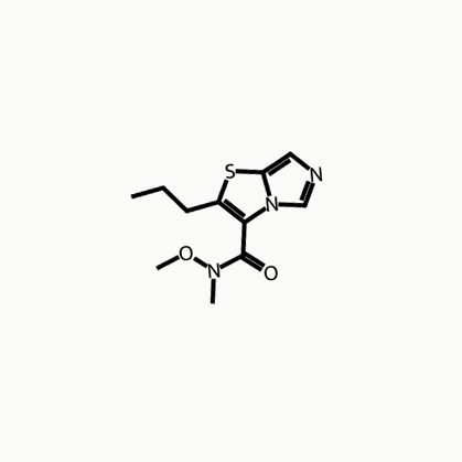 CCCc1sc2cncn2c1C(=O)N(C)OC